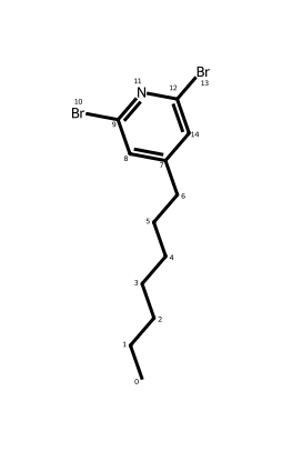 CCCCCCCc1cc(Br)nc(Br)c1